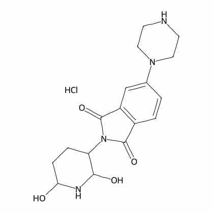 Cl.O=C1c2ccc(N3CCNCC3)cc2C(=O)N1C1CCC(O)NC1O